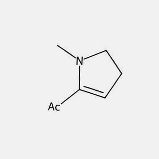 CC(=O)C1=CCCN1C